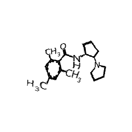 Cc1cc(C)c(C(=O)N[C@H]2CCC[C@H]2N2CCCC2)c(C)c1